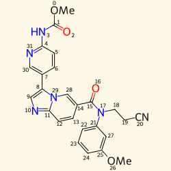 COC(=O)Nc1ccc(-c2cnc3ccc(C(=O)N(CCC#N)c4cccc(OC)c4)cn23)cn1